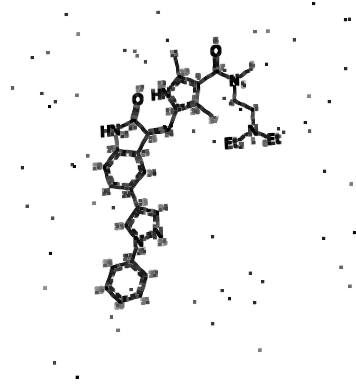 CCN(CC)CCN(C)C(=O)c1c(C)[nH]c(/C=C2\C(=O)Nc3ccc(-c4cnn(-c5ccccc5)c4)cc32)c1C